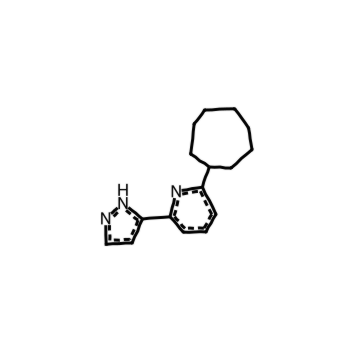 c1cc(-c2ccn[nH]2)nc(C2CCCCCCC2)c1